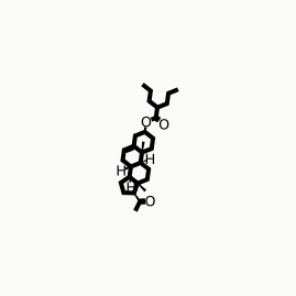 CCCC(CCC)C(=O)O[C@H]1CC[C@@]2(C)C(=CC[C@H]3[C@@H]4CC[C@H](C(C)=O)[C@@]4(C)CC[C@@H]32)C1